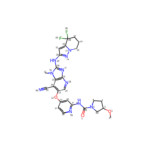 COC1CCN(C(=O)Nc2cc(Oc3cnc4nc(Nc5cc6n(n5)CCCC6(F)F)n(C)c4c3C#N)ccn2)C1